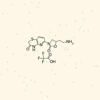 NCCC1CN(c2ccc3c(n2)NC(=O)CS3)C(=O)O1.O=C(O)C(F)(F)F